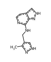 Cc1n[nH]cc1CNc1nccc2c[nH]nc12